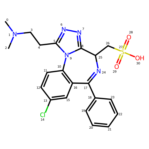 CN(C)CCc1nnc2n1-c1ccc(Cl)cc1C(c1ccccc1)=NC2CS(=O)(=O)O